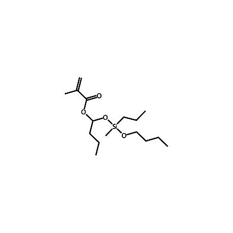 C=C(C)C(=O)OC(CCC)O[Si](C)(CCC)OCCCC